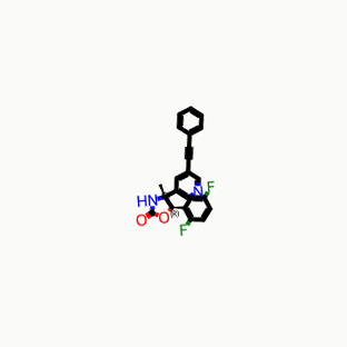 C[C@]1(c2cncc(C#Cc3ccccc3)c2)NC(=O)O[C@@H]1c1cc(F)ccc1F